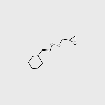 C(=CC1CCCCC1)OOCC1CO1